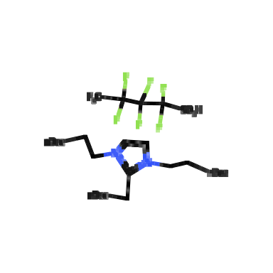 CCCCCCCCCCCCn1cc[n+](CCCCCCCCCCCC)c1CCCCCCCCCCC.O=S(=O)(O)C(F)(F)C(F)(F)C(F)(F)C(F)(F)F